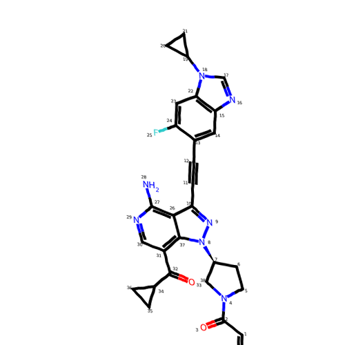 C=CC(=O)N1CC[C@H](n2nc(C#Cc3cc4ncn(C5CC5)c4cc3F)c3c(N)ncc(C(=O)C4CC4)c32)C1